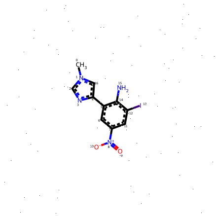 Cn1cnc(-c2cc([N+](=O)[O-])cc(I)c2N)c1